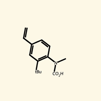 C=Cc1ccc(N(C)C(=O)O)c(C(C)(C)C)c1